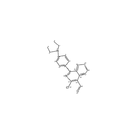 CCN(CC)c1ccc(-c2nc(Cl)c(C=O)c3ccccc23)cc1